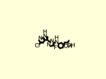 CC(O)C[C@@]1(O)CCC[C@H](Nc2nc(-c3c[nH]c4ncc(Cl)cc34)ncc2F)C1